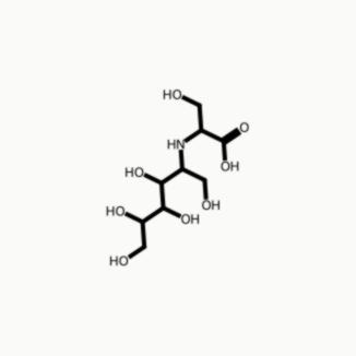 O=C(O)C(CO)NC(CO)C(O)C(O)C(O)CO